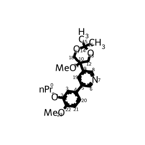 CCCOc1cc(-c2cncc(C3(OC)COC(C)(C)OC3)c2)ccc1OC